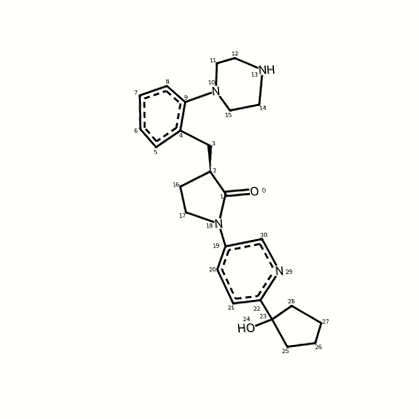 O=C1[C@H](Cc2ccccc2N2CCNCC2)CCN1c1ccc(C2(O)CCCC2)nc1